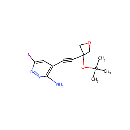 C[Si](C)(C)OC1(C#Cc2cc(I)nnc2N)COC1